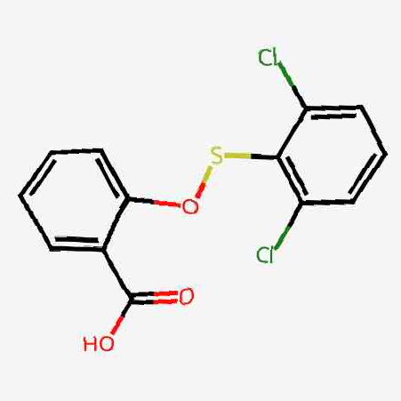 O=C(O)c1ccccc1OSc1c(Cl)cccc1Cl